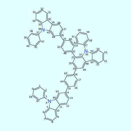 c1ccc(-n2c3ccccc3c3ccc(-c4ccc(-c5cc(-c6ccc(-c7ccc8c9ccccc9n(-c9ccccc9)c8c7)cc6)c6c(c5)c5ccccc5n6-c5ccccc5)cc4)cc32)cc1